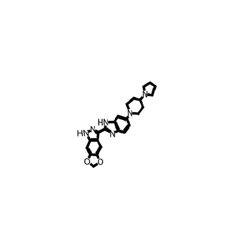 c1cc2nc(-c3n[nH]c4cc5c(cc34)OCO5)[nH]c2cc1N1CCC(N2CCCC2)CC1